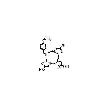 C=Cc1ccc(CN2CCN(CC(=O)O)CCN(CC(=O)O)CCN(CC(=O)O)CC2)cc1